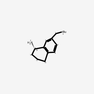 CC(C)(C)Cc1ccc2c(c1)[C@@H](N)CCC2